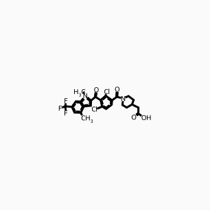 Cc1cc(C(F)(F)F)cc2c1cc(C(=O)c1c(Cl)ccc(C(=O)N3CCC(CC(=O)O)CC3)c1Cl)n2C